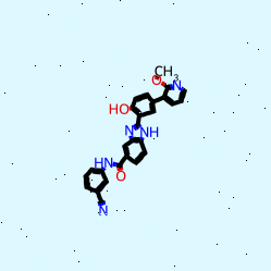 COc1ncccc1-c1ccc(O)c(-c2nc3cc(C(=O)Nc4cccc(C#N)c4)ccc3[nH]2)c1